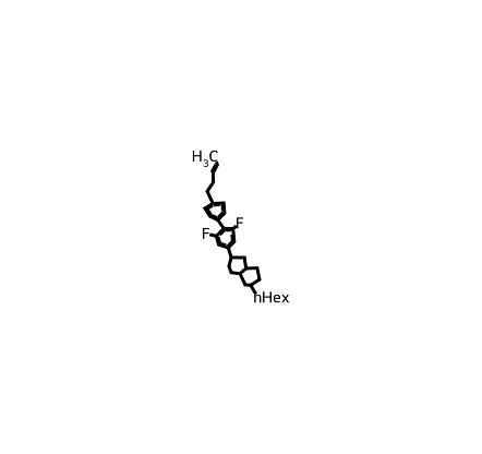 C/C=C/CCc1ccc(-c2c(F)cc(C3CCC4CC(CCCCCC)CCC4C3)cc2F)cc1